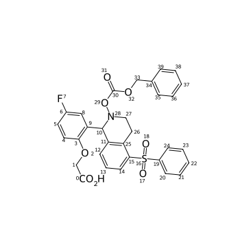 O=C(O)COc1ccc(F)cc1C1c2cccc(S(=O)(=O)c3ccccc3)c2CCN1OC(=O)OCc1ccccc1